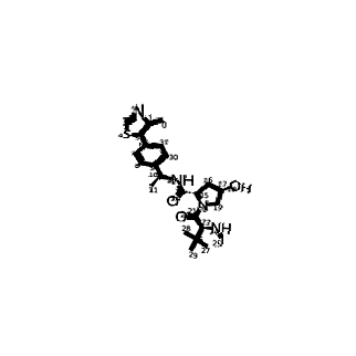 Cc1ncsc1-c1ccc([C@H](C)NC(=O)[C@@H]2C[C@@H](O)CN2C(=O)[C@@H](NI)C(C)(C)C)cc1